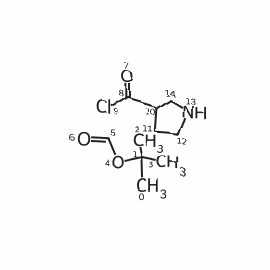 CC(C)(C)OC=O.O=C(Cl)C1CCNC1